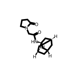 O=C(CN1CCCC1=O)N[C@@]12C[C@@H]3C[C@@H](C[C@H](C3)N1)C2